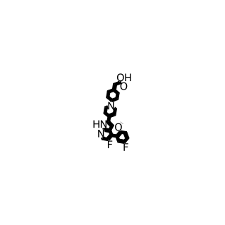 COc1ccc(F)cc1-c1c(F)cnc2[nH]c(C3=CCN(C4CCC(=CC(=O)O)CC4)CC3)cc12